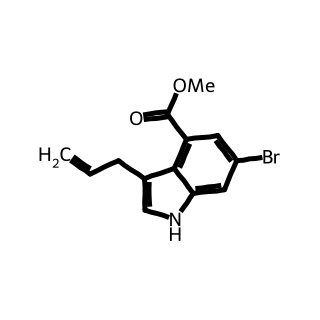 C=CCc1c[nH]c2cc(Br)cc(C(=O)OC)c12